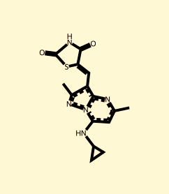 Cc1cc(NC2CC2)n2nc(C)c(C=C3SC(=O)NC3=O)c2n1